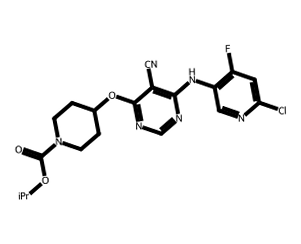 CC(C)OC(=O)N1CCC(Oc2ncnc(Nc3cnc(Cl)cc3F)c2C#N)CC1